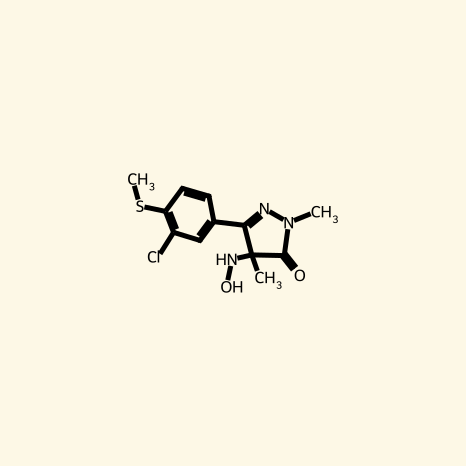 CSc1ccc(C2=NN(C)C(=O)C2(C)NO)cc1Cl